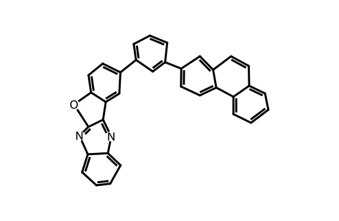 c1cc(-c2ccc3c(ccc4ccccc43)c2)cc(-c2ccc3oc4nc5ccccc5nc4c3c2)c1